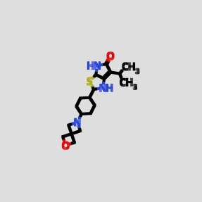 CC(C)C1=C2NC(C3CCC(N4CC5(COC5)C4)CC3)SC2NC1=O